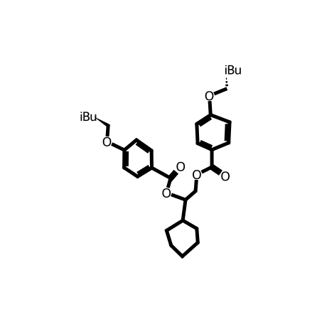 CC[C@@H](C)COc1ccc(C(=O)OCC(OC(=O)c2ccc(OC[C@H](C)CC)cc2)C2CCCCC2)cc1